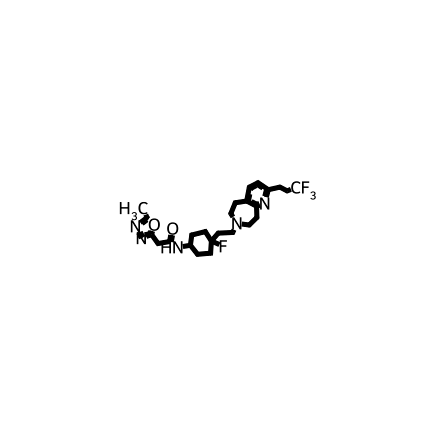 Cc1nnc(CC(=O)NC2CCC(F)(CCN3CCc4ccc(CCC(F)(F)F)nc4CC3)CC2)o1